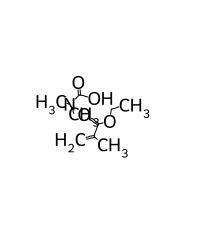 C=C(C)C(=O)OCC.CN(C)C(=O)O